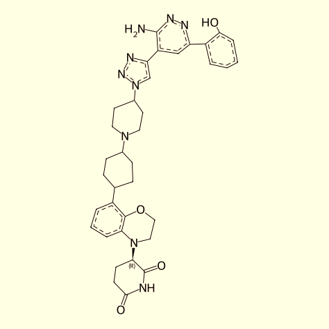 Nc1nnc(-c2ccccc2O)cc1-c1cn(C2CCN(C3CCC(c4cccc5c4OCCN5[C@@H]4CCC(=O)NC4=O)CC3)CC2)nn1